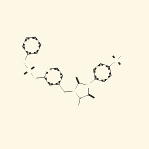 CC1C(=O)N(c2ccc(S(=O)(=O)C(F)(F)F)cc2)C(=O)N1Cc1ccnc(NS(=O)(=O)Nc2ccccc2)c1